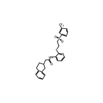 O=C(CC1CCc2ccccc2C1)Nc1cccnc1SCCS(=O)(=O)c1cccc(C(F)(F)F)c1